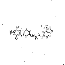 CC(C)O[C@@H](Cc1cccc(CNC(=O)OCc2ccc3ncn(C)c3c2)c1)C(=O)O